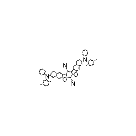 Cc1ccc(C)c(N(c2ccccc2)c2ccc3cc4c(cc3c2)oc2c(C#N)c3oc5cc6cc(N(c7ccccc7)c7cc(C)ccc7C)ccc6cc5c3c(C#N)c24)c1